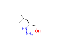 CC(C)C[C@@H](CO)NN